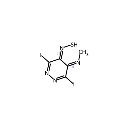 C/N=C1/C(I)=NN=C(I)/C1=N/S